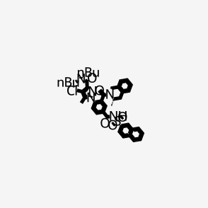 CCCCN(CCCC)C(=O)c1nn(-c2ccc(C(=O)NS(=O)(=O)c3ccc4ccccc4c3)cc2C(=O)N2Cc3ccccc3C[C@@H]2C)c(C)c1Cl